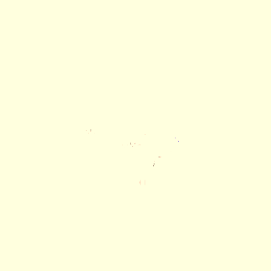 COc1cccc([C@H]2S[C@H](CCO)C(=O)Nc3ccc(Cl)cc32)c1OC